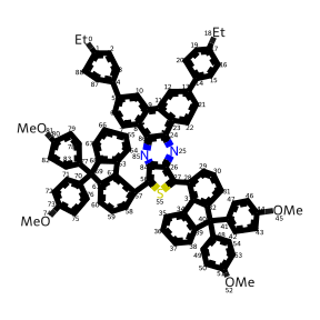 CCc1ccc(-c2ccc3c(c2)c2cc(-c4ccc(CC)cc4)ccc2c2nc4c(-c5cccc6c5-c5ccccc5C6(c5ccc(OC)cc5)c5ccc(OC)cc5)sc(-c5cccc6c5-c5ccccc5C6(c5ccc(OC)cc5)c5ccc(OC)cc5)c4nc32)cc1